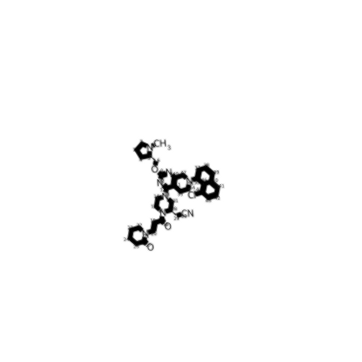 CN1CCC[C@H]1COc1nc2c(c(N3CCN(C(=O)/C=C/N4CCCCC4=O)[C@@H](CC#N)C3)n1)CCN(c1cccc3cccc(Cl)c13)C2